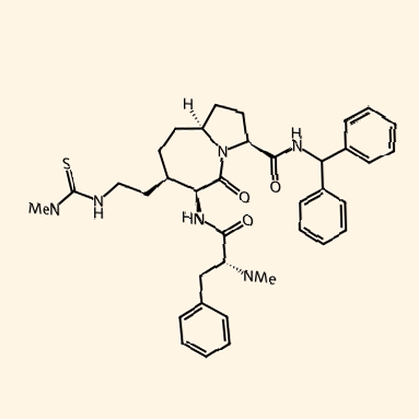 CNC(=S)NCC[C@H]1CC[C@H]2CC[C@@H](C(=O)NC(c3ccccc3)c3ccccc3)N2C(=O)[C@H]1NC(=O)[C@@H](Cc1ccccc1)NC